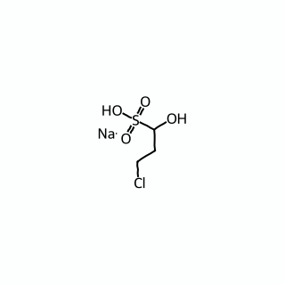 O=S(=O)(O)C(O)CCCl.[Na]